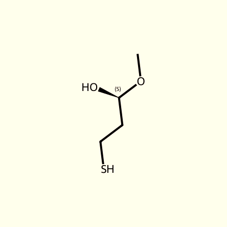 CO[C@H](O)CCS